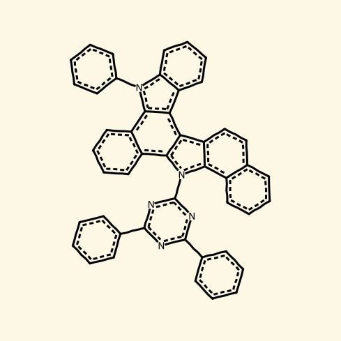 c1ccc(-c2nc(-c3ccccc3)nc(-n3c4c5ccccc5ccc4c4c5c6ccccc6n(-c6ccccc6)c5c5ccccc5c43)n2)cc1